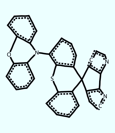 c1ccc2c(c1)Oc1ccccc1N2c1cccc2c1Sc1ccccc1C21c2cccnc2-c2ncccc21